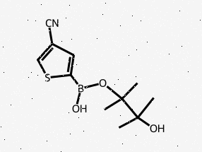 CC(C)(O)C(C)(C)OB(O)c1cc(C#N)cs1